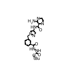 CC(C)(C)OC(=O)NNC(=O)c1cccc(Cn2cc(NC(=O)c3nccnc3N)cn2)c1